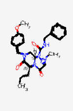 CCC[C@H]1C(=O)N(Cc2ccc(OC)cc2)C[C@H]2N1C(=O)CN(C)N2C(=O)NCc1ccccc1